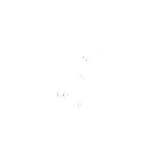 O=C(O)C1CC2CCC(C1)N2C(c1ccccc1Cl)c1ccccc1Cl